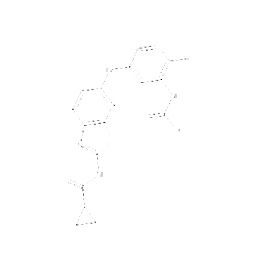 O=C(O)Nc1cc(Nc2ccc3nc(NC(=O)C4CC4)sc3n2)ccc1F